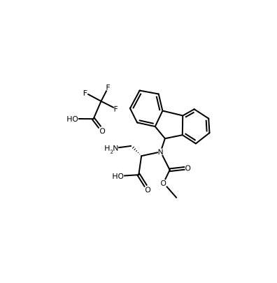 COC(=O)N(C1c2ccccc2-c2ccccc21)[C@@H](CN)C(=O)O.O=C(O)C(F)(F)F